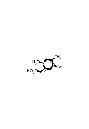 CC(=O)N1C[C@@H](CC(=O)O)N(C)C[C@H]1C